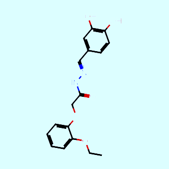 CCOc1ccccc1OCC(=O)N/N=C/c1ccc(O)c(O)c1